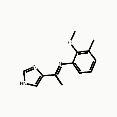 COc1c(C)cccc1/N=C(\C)c1c[nH]cn1